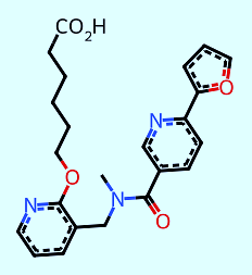 CN(Cc1cccnc1OCCCCCC(=O)O)C(=O)c1ccc(-c2ccco2)nc1